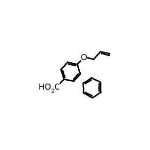 C=CCOc1ccc(C(=O)O)cc1.c1ccccc1